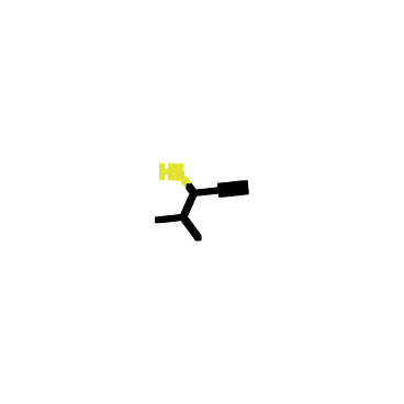 C#CC(S)C(C)C